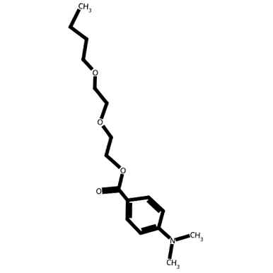 CCCCOCCOCCOC(=O)c1ccc(N(C)C)cc1